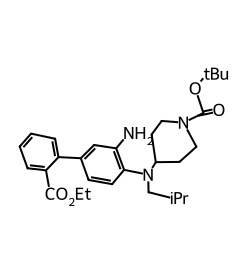 CCOC(=O)c1ccccc1-c1ccc(N(CC(C)C)C2CCN(C(=O)OC(C)(C)C)CC2)c(N)c1